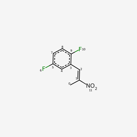 C/C(=C\c1cc(F)ccc1F)[N+](=O)[O-]